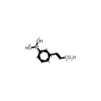 O=C(O)C=Cc1cccc(B(O)O)c1